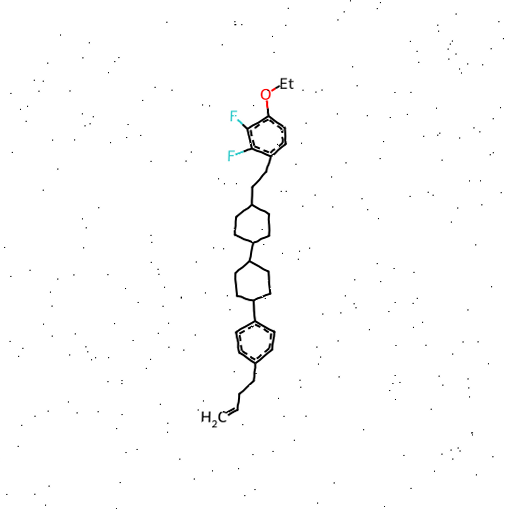 C=CCCc1ccc(C2CCC(C3CCC(CCc4ccc(OCC)c(F)c4F)CC3)CC2)cc1